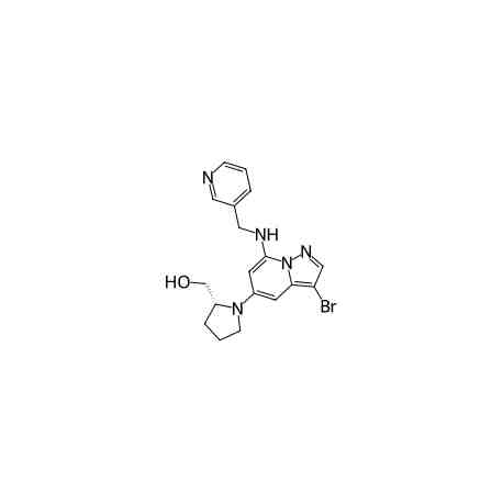 OC[C@H]1CCCN1c1cc(NCc2cccnc2)n2ncc(Br)c2c1